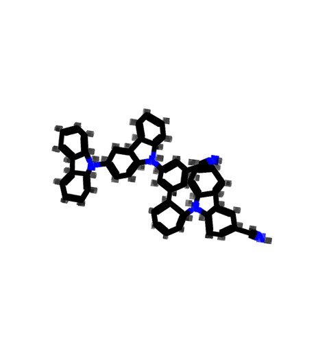 N#Cc1cc(-c2ccccc2-n2c3ccccc3c3cc(C#N)ccc32)cc(-n2c3ccccc3c3cc(-n4c5ccccc5c5ccccc54)ccc32)c1